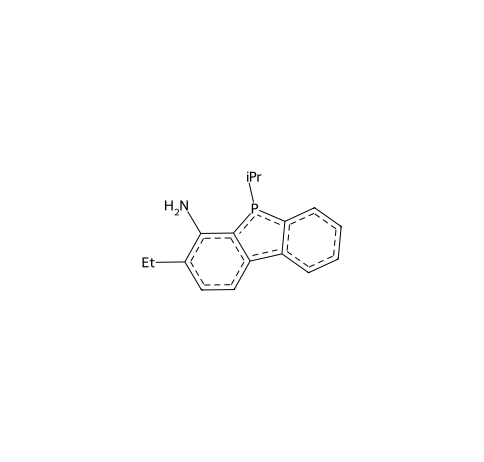 CCc1ccc2c3ccccc3p(C(C)C)c2c1N